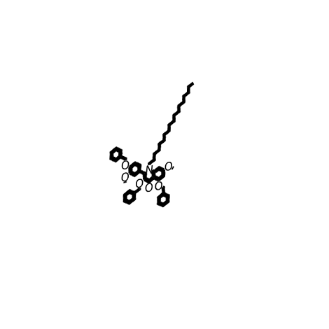 CCCCCCCCCCCCCCCCCCn1c(-c2ccc(OCc3ccccc3)c(OC)c2)c(OCc2ccccc2)c(=O)c2c(OCc3ccccc3)cc(OC)cc21